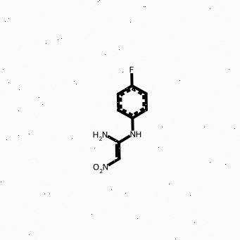 N/C(=C\[N+](=O)[O-])Nc1ccc(F)cc1